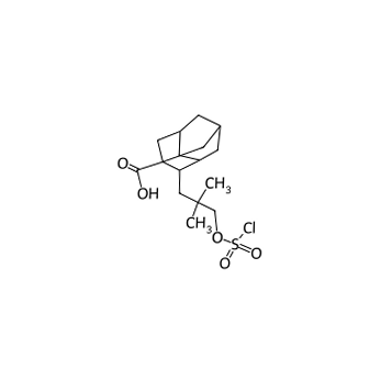 CC(C)(COS(=O)(=O)Cl)CC1C2CC3CC(C2)CC1(C(=O)O)C3